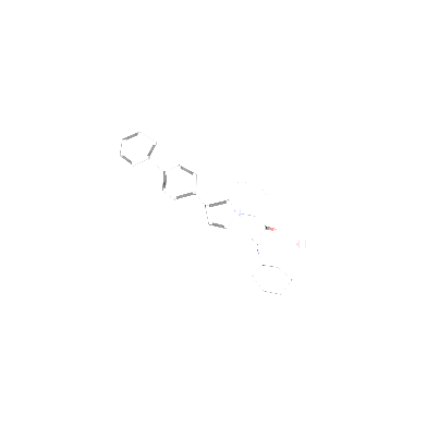 O=C(O)C[C@H](C(=O)N[C@@H]1CCCC[C@H]1O)n1ccc(-c2ccc(-c3ccccc3)cc2)c1